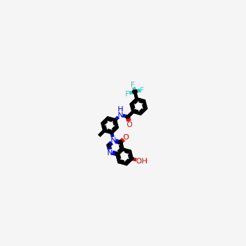 Cc1ccc(NC(=O)c2cccc(C(F)(F)F)c2)cc1-n1cnc2ccc(O)cc2c1=O